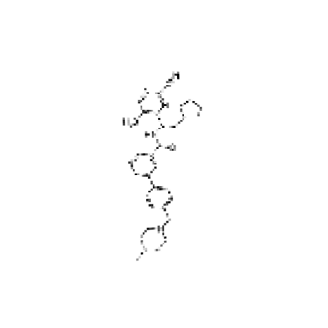 Bc1cnc(C#N)nc1N(CC1CCCC1)NC(=O)c1cncc(-c2ccc(CN3CCN(C)CC3)cc2)c1